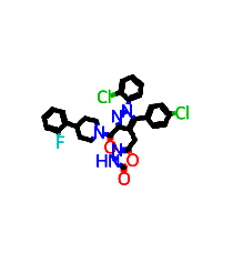 O=C(c1nn(-c2ccccc2Cl)c(-c2ccc(Cl)cc2)c1Cc1n[nH]c(=O)o1)N1CCC(c2ccccc2F)CC1